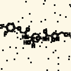 CCc1cc(C(=O)NC23CCC(NC(=O)COc4ccc(Cl)c(F)c4)(CC2)[C@@H](O)C3)on1